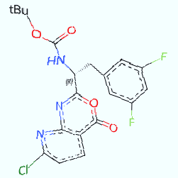 CC(C)(C)OC(=O)N[C@H](Cc1cc(F)cc(F)c1)c1nc2nc(Cl)ccc2c(=O)o1